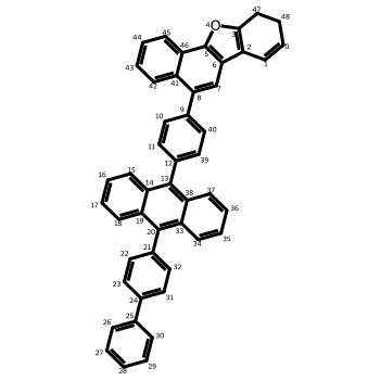 C1=Cc2c(oc3c2cc(-c2ccc(-c4c5ccccc5c(-c5ccc(-c6ccccc6)cc5)c5ccccc45)cc2)c2ccccc23)CC1